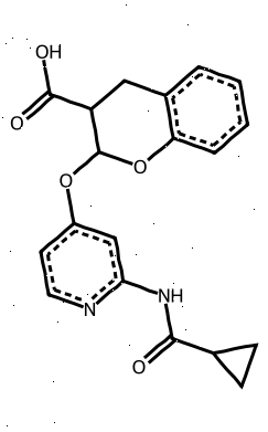 O=C(Nc1cc(OC2Oc3ccccc3CC2C(=O)O)ccn1)C1CC1